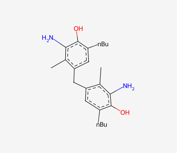 CCCCc1cc(Cc2cc(CCCC)c(O)c(N)c2C)c(C)c(N)c1O